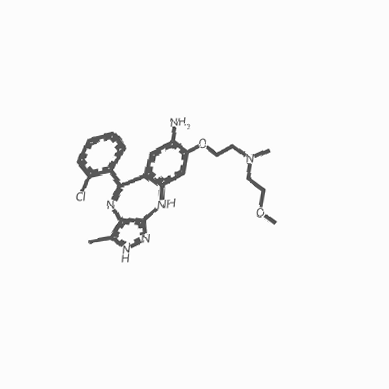 COCCN(C)CCOc1cc2c(cc1N)C(c1ccccc1Cl)=Nc1c(n[nH]c1C)N2